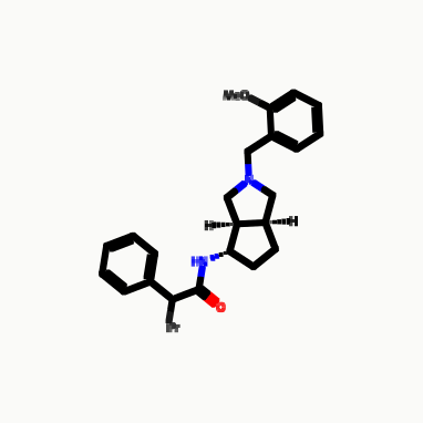 COc1ccccc1CN1C[C@H]2CC[C@H](NC(=O)C(c3ccccc3)C(C)C)[C@H]2C1